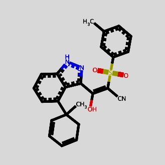 Cc1cccc(S(=O)(=O)C(C#N)=C(O)c2n[nH]c3cccc(C4(C)C=CC=CC4)c23)c1